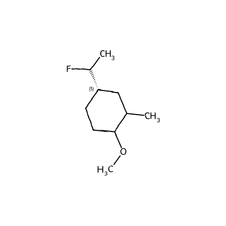 COC1CC[C@H](C(C)F)CC1C